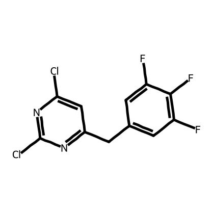 Fc1cc(Cc2cc(Cl)nc(Cl)n2)cc(F)c1F